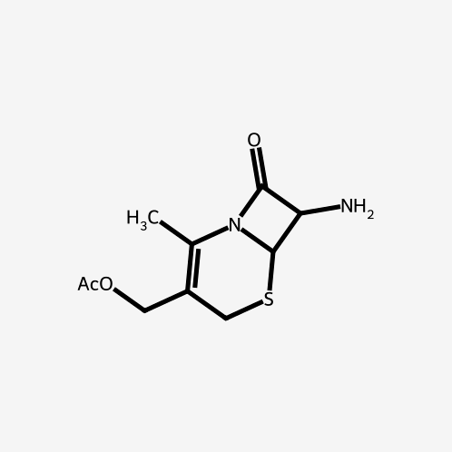 CC(=O)OCC1=C(C)N2C(=O)C(N)C2SC1